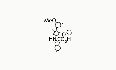 COc1cc(C)cc(-c2c(C)cc(NC3(C(=O)O)Cc4ccccc4C3)cc2COC2CCCC2)c1